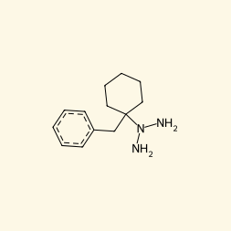 NN(N)C1(Cc2ccccc2)CCCCC1